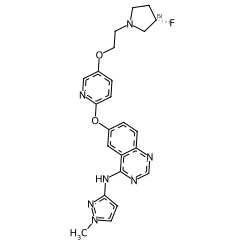 Cn1ccc(Nc2ncnc3ccc(Oc4ccc(OCCN5CC[C@H](F)C5)cn4)cc23)n1